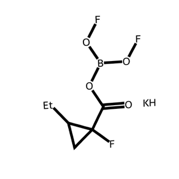 CCC1CC1(F)C(=O)OB(OF)OF.[KH]